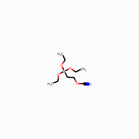 CCO[Si](CCOC#N)(OCC)OCC